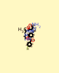 CC(CN1CCOCC1)NC(=O)c1c(C(N)=O)ncn1-c1ccc(NC(=O)c2ccc(F)cc2)cc1